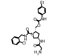 CCc1ccc(NC(=O)OC[C@@H]2C[C@@H](NC(=O)CN)CN2C(=O)NCc2ccccc2Cl)cc1